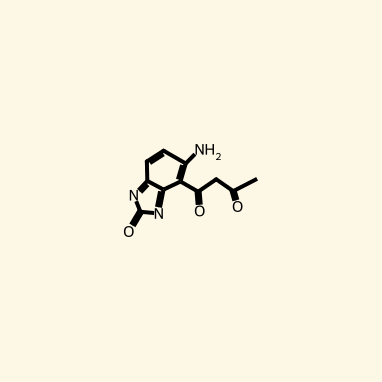 CC(=O)CC(=O)c1c(N)ccc2c1=NC(=O)N=2